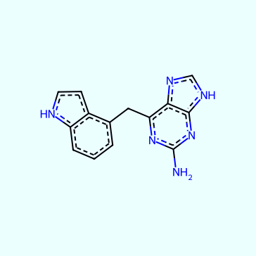 Nc1nc(Cc2cccc3[nH]ccc23)c2nc[nH]c2n1